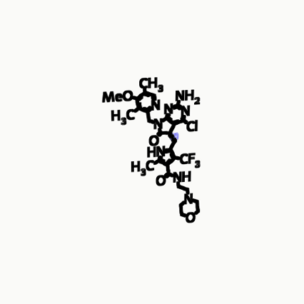 COc1c(C)cnc(CN2C(=O)/C(=C\c3[nH]c(C)c(C(=O)NCCN4CCOCC4)c3C(F)(F)F)c3c(Cl)nc(N)nc32)c1C